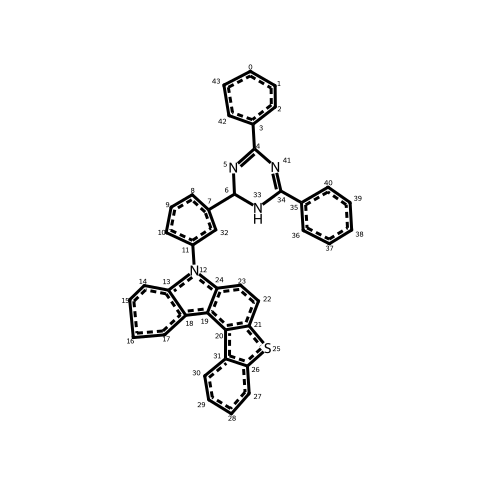 c1ccc(C2=NC(c3cccc(-n4c5ccccc5c5c6c(ccc54)sc4ccccc46)c3)NC(c3ccccc3)=N2)cc1